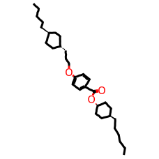 CCCCCC[C@H]1CC[C@H](OC(=O)c2ccc(OCCC[C@H]3CC[C@H](CCCCC)CC3)cc2)CC1